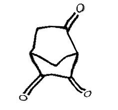 O=C1C(=O)C2CC1CC2=O